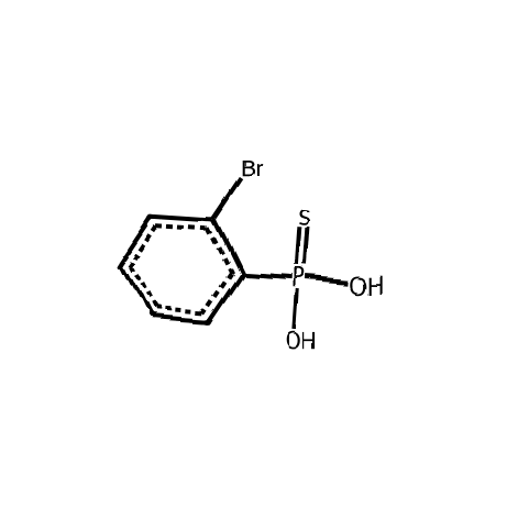 OP(O)(=S)c1ccccc1Br